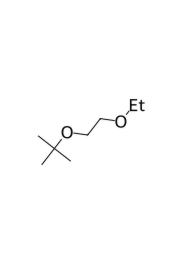 [CH2]COCCOC(C)(C)C